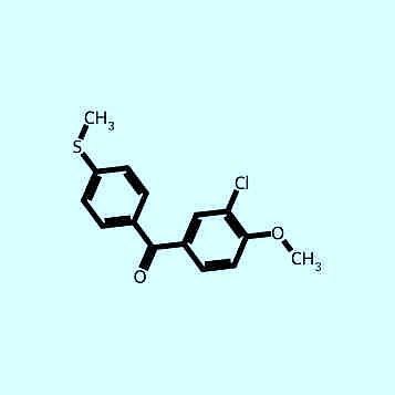 COc1ccc(C(=O)c2ccc(SC)cc2)cc1Cl